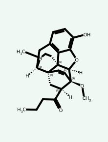 CCCC(=O)[C@H]1C[C@@]23C=C[C@]1(OC)[C@@H]1Oc4c(O)ccc5c4[C@@]12CCN(C)[C@@H]3C5